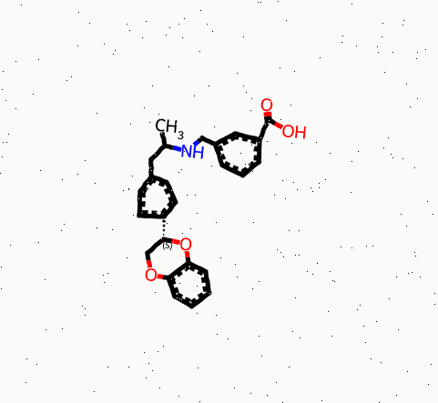 CC(Cc1ccc([C@H]2COc3ccccc3O2)cc1)NCc1cccc(C(=O)O)c1